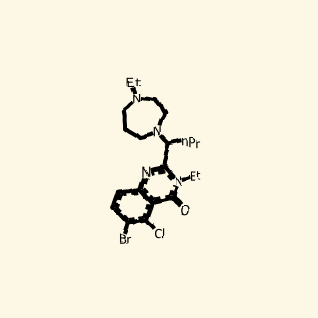 CCCC(c1nc2ccc(Br)c(Cl)c2c(=O)n1CC)N1CCCN(CC)CC1